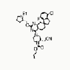 C=CCOC(=O)N1CCN(c2nc(OC[C@@H]3CCCN3CC)nc3c2CC[C@@]2(CCc4c(Cl)cccc42)[C@H]3F)C[C@@H]1CC#N